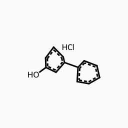 Cl.Oc1cccc(-c2ccccc2)c1